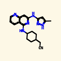 Cc1cc(Nc2cc3ncccc3c(NC3CCC(CC#N)CC3)n2)n[nH]1